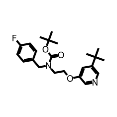 CC(C)(C)OC(=O)N(CCOc1cncc(C(C)(C)C)c1)Cc1ccc(F)cc1